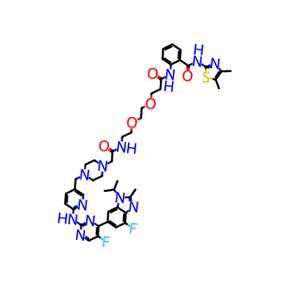 Cc1nc(NC(=O)c2ccccc2NC(=O)CCOCCOCCNC(=O)CN2CCN(Cc3ccc(Nc4ncc(F)c(-c5cc(F)c6nc(C)n(C(C)C)c6c5)n4)nc3)CC2)sc1C